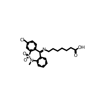 CN1c2ccccc2C(=NCCCCCCC(=O)O)c2ccc(Cl)cc2S1(=O)=O